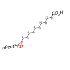 CCCCCC1OC1CCCCCCCCCCC(=O)O